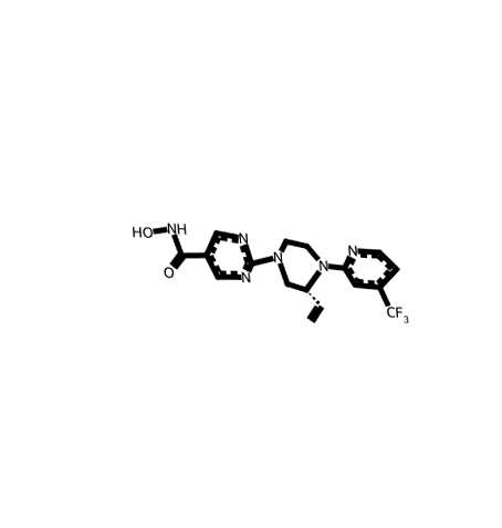 C=C[C@@H]1CN(c2ncc(C(=O)NO)cn2)CCN1c1cc(C(F)(F)F)ccn1